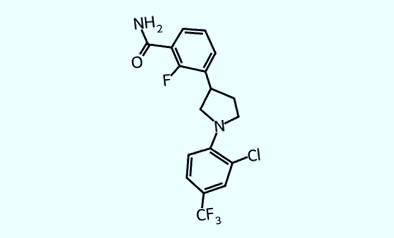 NC(=O)c1cccc(C2CCN(c3ccc(C(F)(F)F)cc3Cl)C2)c1F